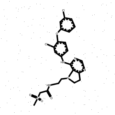 CS(=O)(=O)CC(=O)NCCN1CCc2ncnc(Nc3ccc(Oc4cccc(Cl)c4)c(Cl)c3)c21